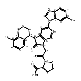 O=C(O)C1CCCN1C(=O)Cn1c(=O)n([C@@H]2CCOc3c(F)cccc32)c2nc(-n3cnc4ccc(F)cc43)ncc21